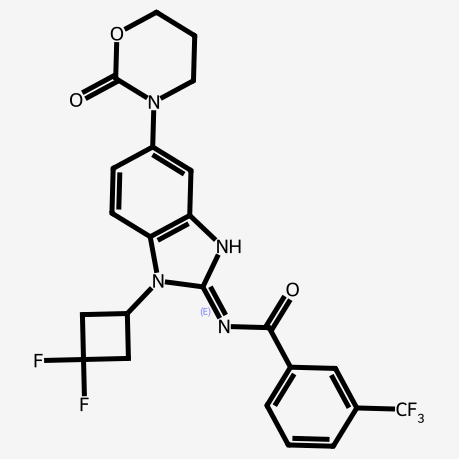 O=C(/N=c1\[nH]c2cc(N3CCCOC3=O)ccc2n1C1CC(F)(F)C1)c1cccc(C(F)(F)F)c1